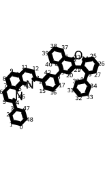 C1=CCC(c2ccc3ccc4ccc(-c5cccc(-c6cc7c(oc8cccc(-c9ccccc9)c87)c7ccccc67)c5)nc4c3n2)C=C1